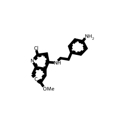 COc1ccc2nc(Cl)cc(NCCc3ccc(N)cc3)c2c1